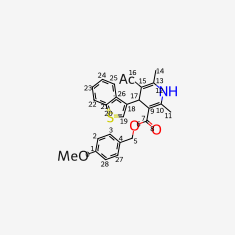 COc1ccc(COC(=O)C2=C(C)NC(C)=C(C(C)=O)C2c2csc3ccccc23)cc1